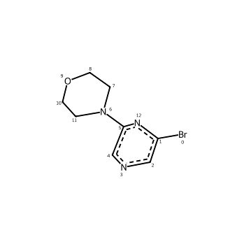 Brc1cncc(N2CCOCC2)n1